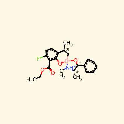 CCOC(=O)c1c(F)ccc2c1O[B-]1(C[C@@H]2C)O[C@@H](c2ccccc2)[C@H](C)[NH+]1C